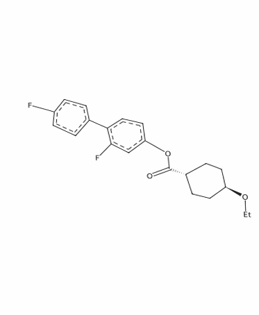 CCO[C@H]1CC[C@H](C(=O)Oc2ccc(-c3ccc(F)cc3)c(F)c2)CC1